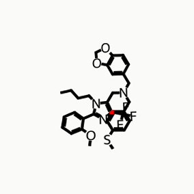 CCCCn1c(-c2ccccc2OC)nc(C(F)(F)F)c1CN(Cc1ccc(SC)cc1)Cc1ccc2c(c1)OCO2